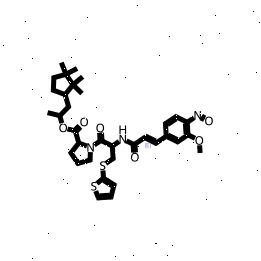 COc1cc(/C=C/C(=O)NC(CSc2cccs2)C(=O)N2CCCC2C(=O)OC(C)CC2CCC(C)(C)C2(C)C)ccc1N=O